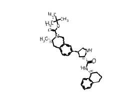 C[C@H]1Cc2ccc(C3CN[C@H](C(=O)N[C@@H]4CCCc5ccccc54)C3)cc2CN1C(=O)OC(C)(C)C